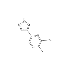 Cc1ncc(-c2cn[nH]c2)nc1C(C)(C)C